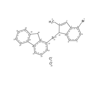 CC1=Cc2c(Br)cccc2[CH]1[Zr+2][c]1cccc2c1Cc1ccccc1-2.[Cl-].[Cl-]